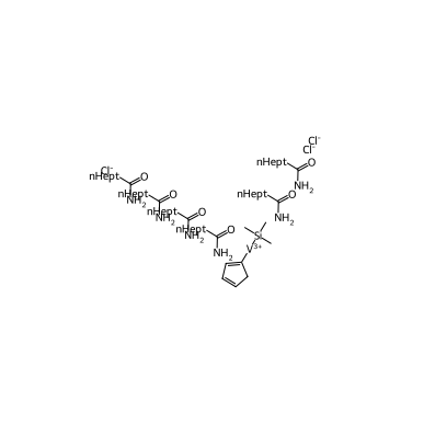 CCCCCCCC(N)=O.CCCCCCCC(N)=O.CCCCCCCC(N)=O.CCCCCCCC(N)=O.CCCCCCCC(N)=O.CCCCCCCC(N)=O.C[Si](C)(C)[V+3][C]1=CC=CC1.[Cl-].[Cl-].[Cl-]